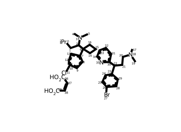 CC(C)CC(N(C)C)C1(c2ccc(Cl)cc2)CCC1.CN(C)CCC(c1ccc(Br)cc1)c1ccccn1.O=C(O)/C=C\C(=O)O